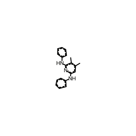 Cc1cc(Nc2ccccc2)nc(Nc2ccccc2)c1C